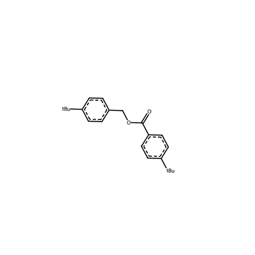 CC(C)(C)c1ccc(COC(=O)c2ccc(C(C)(C)C)cc2)cc1